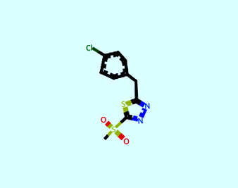 CS(=O)(=O)c1nnc(Cc2ccc(Cl)cc2)s1